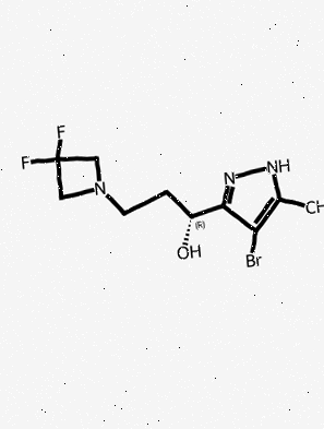 Cc1[nH]nc([C@H](O)CCN2CC(F)(F)C2)c1Br